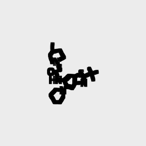 CC1CCN(SC(=O)Nc2cc3sc(C(C)(C)C)nc3cc2N2CCCCC2)CC1